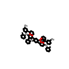 Cc1ccccc1N(c1ccc(C(C)C)cc1-c1ccccc1)c1ccc2c3cc4c(cc3n3c5ccccc5c1c23)c1ccc(N(c2ccccc2C)c2ccc(C(C)C)cc2-c2ccccc2)c2c3ccccc3n4c12